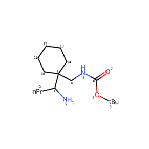 CCCC(N)C1(CNC(=O)OC(C)(C)C)CCCCC1